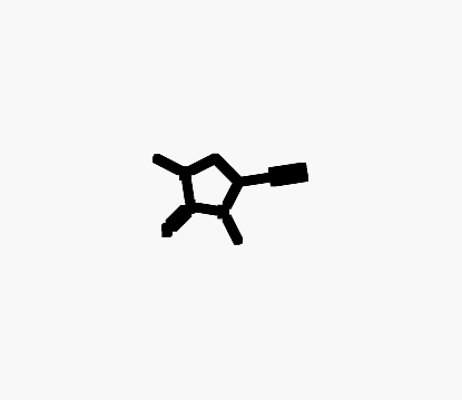 C#CC1CN(C)S(=S)N1C